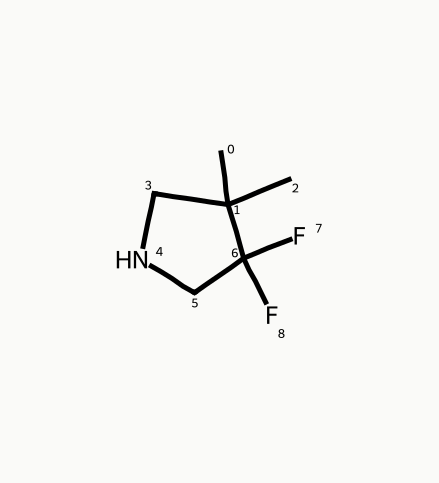 CC1(C)CNCC1(F)F